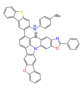 CC(C)(C)c1ccc(Nc2cc3sc4ccccc4c3cc2-c2ccc3c4cc5oc6ccccc6c5cc4n4c3c2Bc2cc3nc(-c5ccccc5)oc3cc2-4)cc1